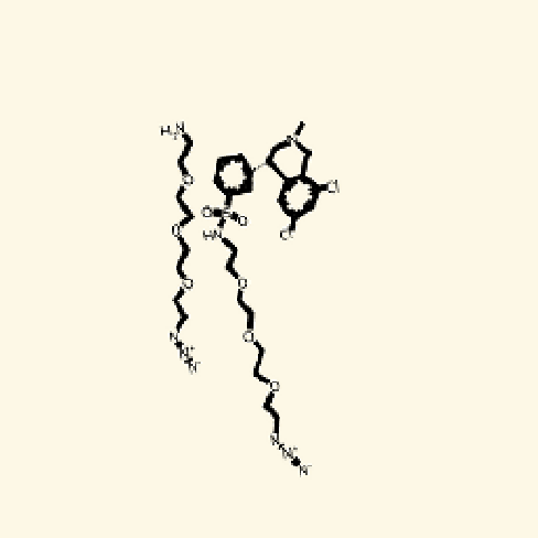 CN1Cc2c(Cl)cc(Cl)cc2[C@H](c2cccc(S(=O)(=O)NCCOCCOCCOCCN=[N+]=[N-])c2)C1.[N-]=[N+]=NCCOCCOCCOCCN